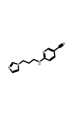 N#Cc1ccc(NCCCn2ccnc2)nc1